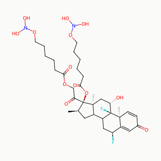 C[C@@H]1CC2C3C[C@H](F)C4=CC(=O)C=C[C@]4(C)[C@@]3(F)[C@@H](O)C[C@]2(C)[C@@]1(OC(=O)CCCCCON(O)O)C(=O)COC(=O)CCCCCON(O)O